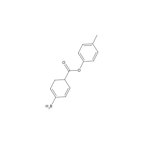 BC1=CCC(C(=O)Oc2ccc(C)cc2)C=C1